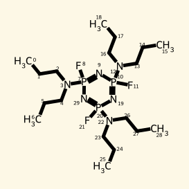 CCCN(CCC)P1(F)=NP(F)(N(CCC)CCC)=NP(F)(N(CCC)CCC)=N1